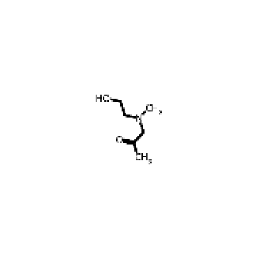 CC(=O)CN(C)CCO